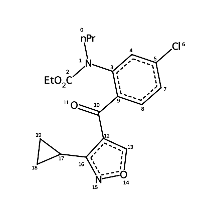 CCCN(C(=O)OCC)c1cc(Cl)ccc1C(=O)c1conc1C1CC1